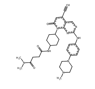 C#Cc1cc(=O)n(C2CCC(NC(=O)CCC(=O)N(C)C)CC2)c2nc(Nc3ccc(N4CCN(C)CC4)cc3)ncc12